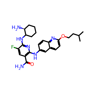 CC(C)CCOc1ccc2cc(Nc3nc(NC4CCCC[C@@H]4N)c(F)cc3C(N)=O)ccc2n1